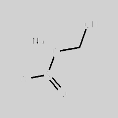 O=S([O-])OCO.[Na+]